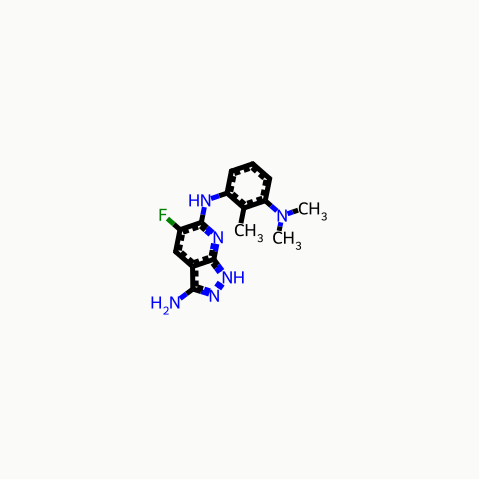 Cc1c(Nc2nc3[nH]nc(N)c3cc2F)cccc1N(C)C